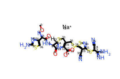 CO/N=C(\C(=O)N[C@@H]1C(=O)N2C(C(=O)[O-])=C(CSc3snc(SC(C#N)C(=N)N)c3C#N)CS[C@@H]12)c1csc(N)n1.[Na+]